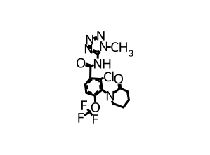 Cn1nnnc1NC(=O)c1ccc(OC(F)(F)F)c(N2CCCCC2=O)c1Cl